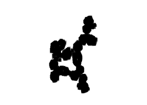 CC1(C)c2ccccc2-c2ccc(-n3c4ccccc4c4cc(-c5ccc6c(c5)c5ccccc5n6-c5ccc(-c6nc(-c7cccc(-n8c9ccccc9c9cc(-c%10ccc%11c(c%10)c%10ccccc%10n%11-c%10ccc%11c(c%10)C(C)(C)c%10ccccc%10-%11)ccc98)c7)nc7c6-c6cccc8cccc-7c68)cc5)ccc43)cc21